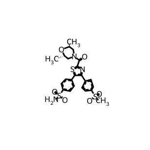 C[C@@H]1CN(C(=O)c2nc(-c3ccc(S(C)(=O)=O)cc3)c(-c3ccc(S(N)(=O)=O)cc3)s2)C[C@H](C)O1